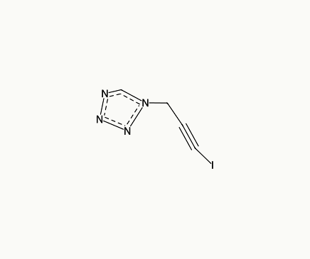 IC#CCn1cnnn1